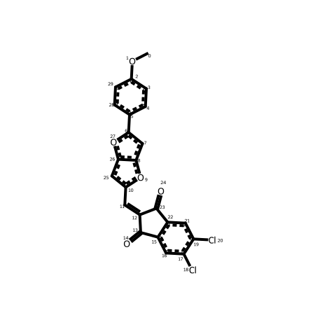 COc1ccc(-c2cc3oc(C=C4C(=O)c5cc(Cl)c(Cl)cc5C4=O)cc3o2)cc1